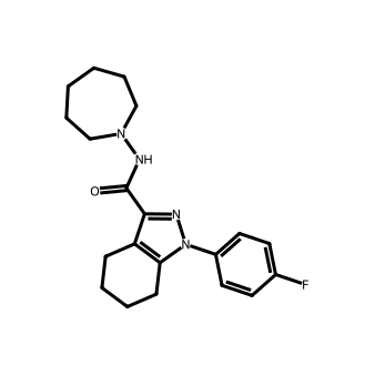 O=C(NN1CCCCCC1)c1nn(-c2ccc(F)cc2)c2c1CCCC2